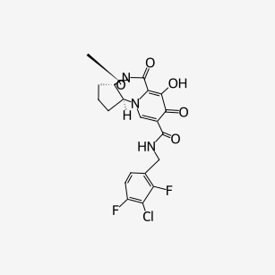 C[C@H]1CN2C(=O)c3c(O)c(=O)c(C(=O)NCc4ccc(F)c(Cl)c4F)cn3[C@H]3CCC[C@]32O1